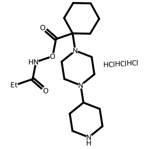 CCC(=O)NOC(=O)C1(N2CCN(C3CCNCC3)CC2)CCCCC1.Cl.Cl.Cl